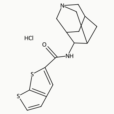 Cl.O=C(NC1C2CC3CC1CN(C3)C2)c1cc2ccsc2s1